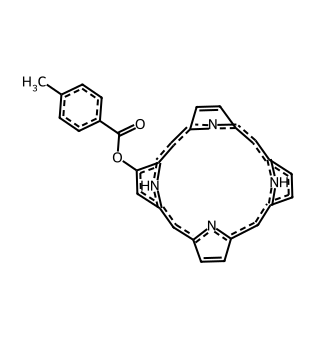 Cc1ccc(C(=O)Oc2cc3cc4nc(cc5ccc(cc6nc(cc2[nH]3)C=C6)[nH]5)C=C4)cc1